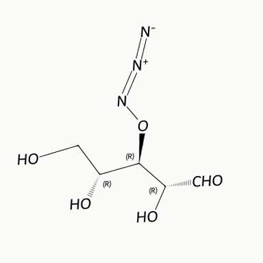 [N-]=[N+]=NO[C@H]([C@H](O)CO)[C@@H](O)C=O